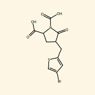 O=C(O)C1CC(Cc2cc(Br)cs2)C(=O)N1C(=O)O